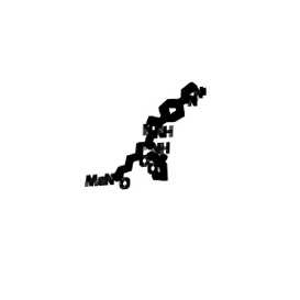 CNC(=O)CCCCC[C@H](NC(=O)C1(C)CCCO1)c1ncc(-c2ccc(-c3ccn(C)n3)cc2)[nH]1